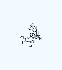 CS(=O)(=O)c1cc(C(=O)N2[C@@H](C(=O)N[C@@H](c3ccc(Cl)c(F)c3)C3CC3)C[C@H]3C[C@H]32)ccn1